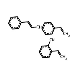 C=Cc1ccccc1.C=Cc1ccccc1C#N.CC=Cc1ccccc1